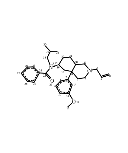 C=CCN1CCC2(c3cccc(OC)c3)C[C@@H](N(CC(C)C)C(=O)c3ccccc3)CCC2C1